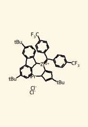 CCCC1C=C(C(C)(C)C)C=[C]1[Zr+2](=[C](c1ccc(C(F)(F)F)cc1)c1ccc(C(F)(F)F)cc1)[CH]1c2ccc(C(C)(C)C)cc2-c2cc(C(C)(C)C)ccc21.[Cl-].[Cl-]